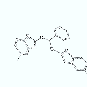 Cc1ccc2oc(OC(Oc3cc4cc(C)ccc4o3)c3ccccc3)cc2c1